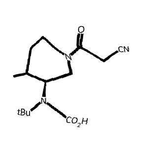 CC1CCN(C(=O)CC#N)C[C@H]1N(C(=O)O)C(C)(C)C